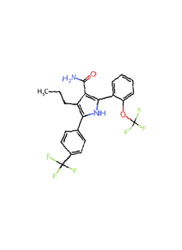 CCCc1c(-c2ccc(C(F)(F)F)cc2)[nH]c(-c2ccccc2OC(F)(F)F)c1C(N)=O